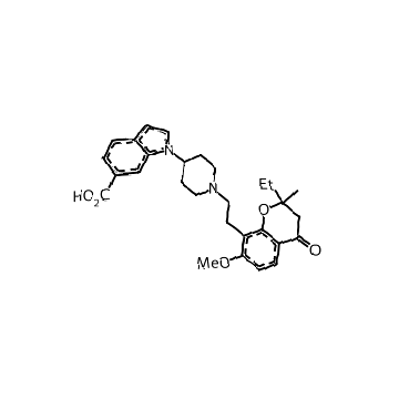 CCC1(C)CC(=O)c2ccc(OC)c(CCN3CCC(n4ccc5ccc(C(=O)O)cc54)CC3)c2O1